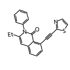 CCc1cc2cccc(C#Cc3nccs3)c2c(=O)n1-c1ccccc1